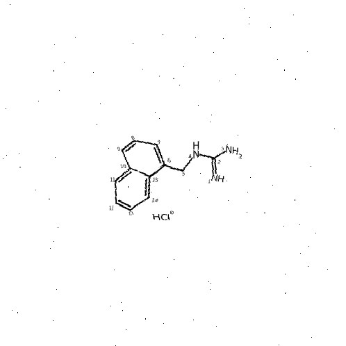 Cl.N=C(N)NCc1cccc2ccccc12